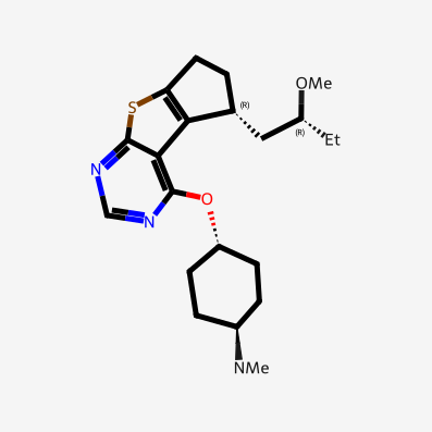 CC[C@H](C[C@H]1CCc2sc3ncnc(O[C@H]4CC[C@H](NC)CC4)c3c21)OC